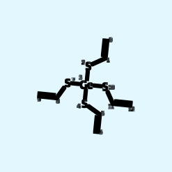 C=C[S][Ge]([S]C=C)([S]C=C)[S]C=C